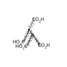 O=C(O)CCCCCCCCP(CCCCCCCCC(=O)O)CCCP(CCCCCCCCC(=O)O)CCCCCCCCC(=O)O